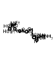 CCNC(=O)c1nnc(-c2cc(C(C)C)c(O)cc2O)n1-c1ccc(CN2CCN(C(=O)Cc3ccc(OC(=O)N(C)CCCOc4ccc5c(c4OC)N=C(NC(=O)c4cnc(N)nc4)N4CCN=C54)cc3)CC2)cc1